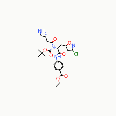 CCOC(=O)c1ccc(NC(=O)[C@H](CC2CC(Cl)=NO2)N(C(=O)CCCN)C(=O)OC(C)(C)C)cc1